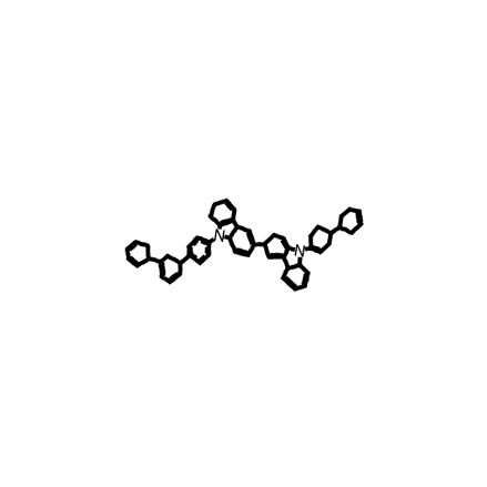 C1=CCC(C2=CC=CC(c3ccc(N4C5=C(C=CCC5)C5C=C(C6C=C7C(=CC6)N(C6=CCC(C8CC=CCC8)CC6)C6C=CC=CC76)C=CC54)cc3)C2)C=C1